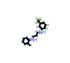 Cc1ccccc1NCCCNc1cccc(C(F)(F)F)c1